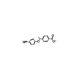 COC(=O)c1ccc(C(C)Oc2ccc(C#N)cc2)cc1